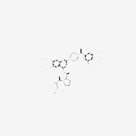 COc1cc2nc(N3CCN(C(=O)c4cc(OC)c(OC)c(OC)c4)CC3)nc(NC(=O)C3CCCN3C(=O)C(C)CSC(C)=O)c2cc1OC